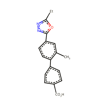 CCc1nnc(-c2ccc(-c3ccc(C(=O)O)cc3)c(C)c2)o1